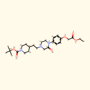 CCOC(=O)COc1ccc(N2CCN(CCC3CCN(C(=O)OC(C)(C)C)CC3)CC2=O)cc1